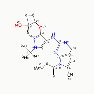 [2H]C([2H])([2H])n1cc(Nc2ncc3cc(C#N)n([C@@H](C)COC)c3n2)c(O[C@@H]2CC[C@@]2(C)O)n1